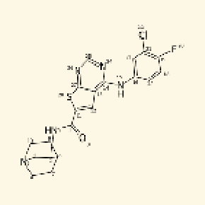 O=C(NC1CN2CCC1CC2)c1cc2c(Nc3ccc(F)c(Cl)c3)ncnc2s1